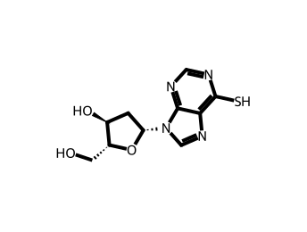 OC[C@H]1O[C@@H](n2cnc3c(S)ncnc32)C[C@@H]1O